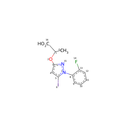 CC(Oc1cc(I)n(-c2ccccc2F)n1)C(=O)O